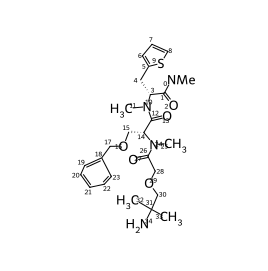 CNC(=O)[C@@H](Cc1cccs1)N(C)C(=O)[C@@H](COCc1ccccc1)N(C)C(=O)COCC(C)(C)N